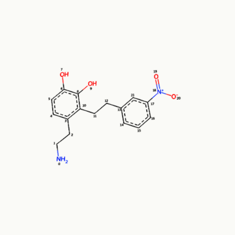 NCCc1ccc(O)c(O)c1CCc1cccc([N+](=O)[O-])c1